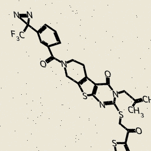 C=C(C)Cn1c(SCC(=O)c2cccs2)nc2sc3c(c2c1=O)CCN(C(=O)c1cccc(C2(C(F)(F)F)N=N2)c1)C3